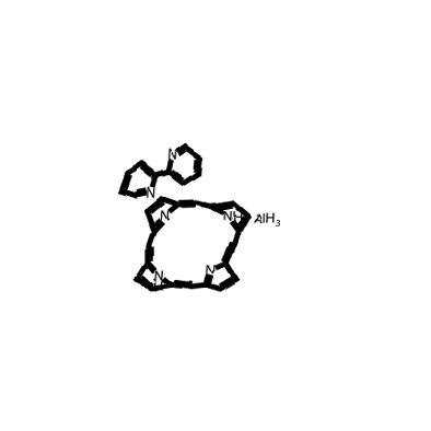 C1=Cc2cc3ccc(cc4nc(cc5ccc(cc1n2)[nH]5)C=C4)[nH]3.[AlH3].c1ccc(-c2ccccn2)nc1